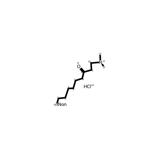 CCCCCCCCCCCCCCCC(=O)CCN(C)C.Cl